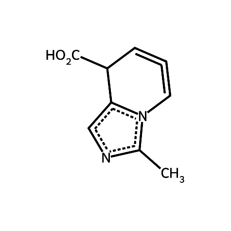 Cc1ncc2n1C=C=CC2C(=O)O